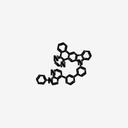 c1ccc(-n2ccc3c(-c4cccc(-c5cccc(-n6c7ccccc7c7cc8c9ccccc9c9nccnc9c8cc76)c5)c4)ccnc32)cc1